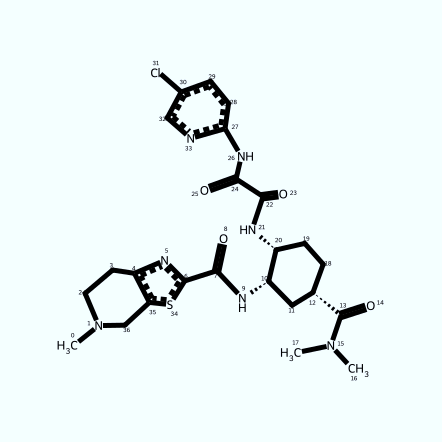 CN1CCc2nc(C(=O)N[C@H]3C[C@@H](C(=O)N(C)C)CC[C@H]3NC(=O)C(=O)Nc3ccc(Cl)cn3)sc2C1